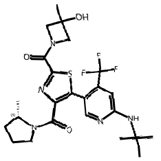 C[C@H]1CCCN1C(=O)c1nc(C(=O)N2CC(C)(O)C2)sc1-c1cnc(NC(C)(C)C)cc1C(F)(F)F